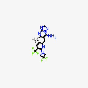 Cc1nc2ncnn2c(N)c1Cc1ccc(C(F)(F)F)c(N2CC(F)(F)C2)n1